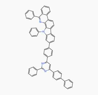 c1ccc(-c2ccc(-c3cc(-c4ccc(-c5ccc6c7ccc8c9ccccc9c(-c9ccccc9)nc8c7n(-c7ccccc7)c6c5)cc4)nc(-c4ccccc4)n3)cc2)cc1